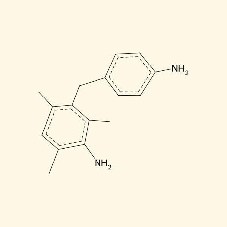 Cc1cc(C)c(Cc2ccc(N)cc2)c(C)c1N